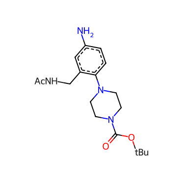 CC(=O)NCc1cc(N)ccc1N1CCN(C(=O)OC(C)(C)C)CC1